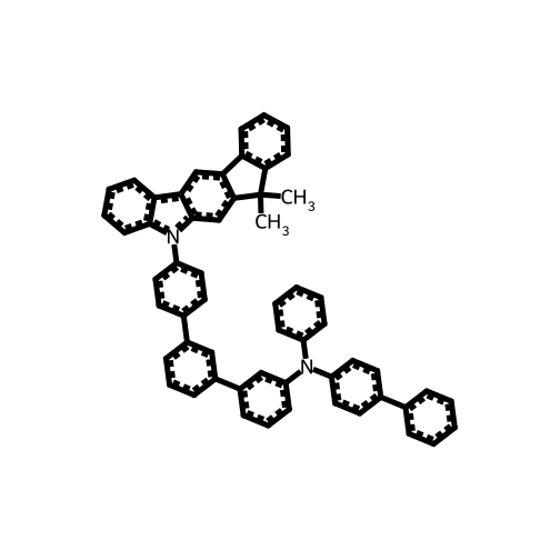 CC1(C)c2ccccc2-c2cc3c4ccccc4n(-c4ccc(-c5cccc(-c6cccc(N(c7ccccc7)c7ccc(-c8ccccc8)cc7)c6)c5)cc4)c3cc21